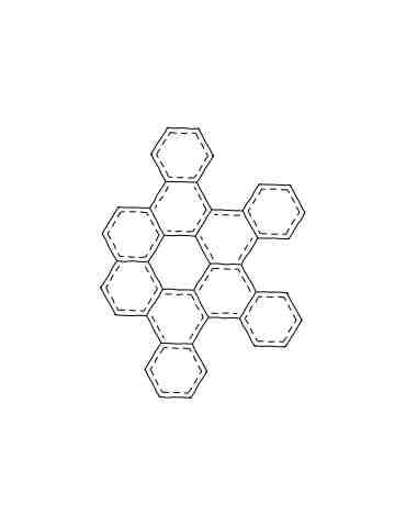 c1ccc2c(c1)c1ccc3ccc4c5ccccc5c5c6ccccc6c6c7ccccc7c2c2c1c3c4c5c62